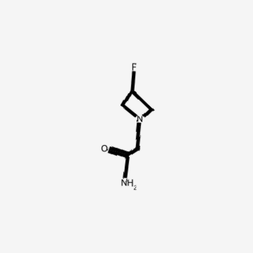 NC(=O)CN1CC(F)C1